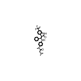 CN(C)CC(=O)N(C)c1ccc(N/C(=C2\C(=O)Nc3cc(C(F)(F)F)ccc32)c2ccccc2)cc1